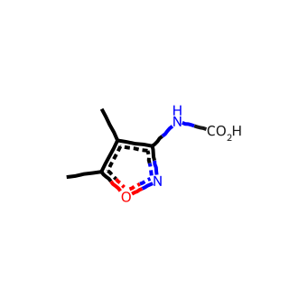 Cc1onc(NC(=O)O)c1C